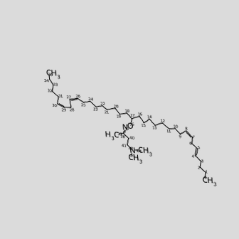 CCCC/C=C/C/C=C\CCCCCCCCC(CCCCCCCC/C=C\C/C=C\CCCCC)O/N=C(/C)CCN(C)C